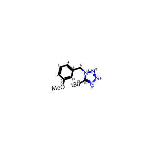 COc1cccc(Cn2nnnc2C(C)(C)C)c1